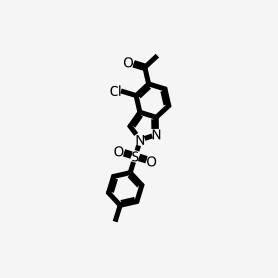 CC(=O)c1ccc2nn(S(=O)(=O)c3ccc(C)cc3)cc2c1Cl